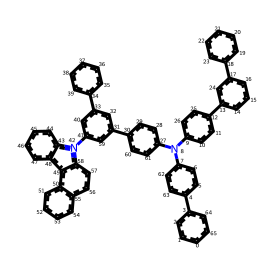 c1ccc(-c2ccc(N(c3ccc(-c4cccc(-c5ccccc5)c4)cc3)c3ccc(-c4cc(-c5ccccc5)cc(-n5c6ccccc6c6c7ccccc7ccc65)c4)cc3)cc2)cc1